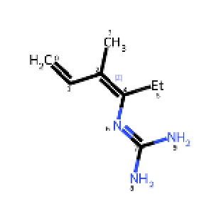 C=C/C(C)=C(/CC)N=C(N)N